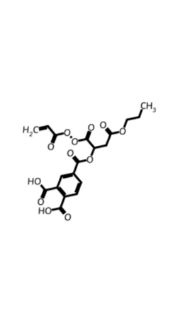 C=CC(=O)OOC(=O)C(CC(=O)OCCC)OC(=O)c1ccc(C(=O)O)c(C(=O)O)c1